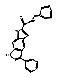 O=C(NCc1ccccc1)c1nc2cc3c(-c4ccncc4)n[nH]c3cc2[nH]1